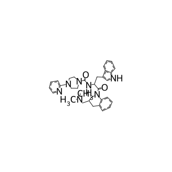 CN(C)CC1Cc2ccccc2N(C(=O)C(Cc2c[nH]c3ccccc23)NC(=O)N2CCN(c3ccccn3)CC2)C1